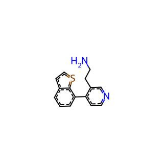 NCCc1cnccc1-c1cccc2ccsc12